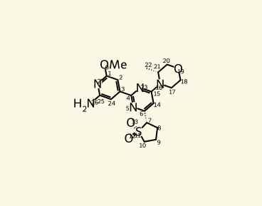 COc1cc(-c2nc([C@@H]3CCCS3(=O)=O)cc(N3CCOC[C@H]3C)n2)cc(N)n1